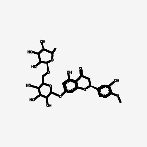 COc1ccc([C@@H]2CC(=O)c3c(O)cc(OC4OC(CO[C@@H]5OC(C)[C@H](O)C(O)C5O)C(O)C(O)C4O)cc3O2)cc1O